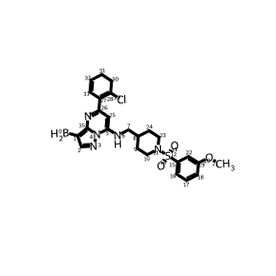 Bc1cnn2c(NCC3CCN(S(=O)(=O)c4cccc(OC)c4)CC3)cc(C3=C(Cl)CCC=C3)nc12